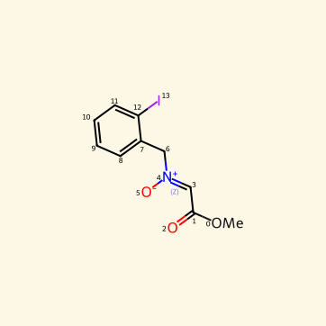 COC(=O)/C=[N+](\[O-])Cc1ccccc1I